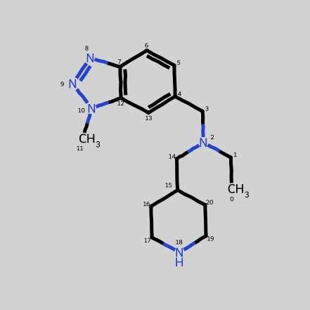 CCN(Cc1ccc2nnn(C)c2c1)CC1CCNCC1